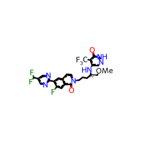 COC[C@@H](CCCn1ccc2cc(-c3ncc(C(F)F)cn3)c(F)cc2c1=O)Nc1cn[nH]c(=O)c1C(F)(F)F